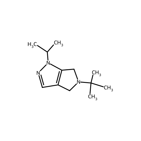 CC(C)n1ncc2c1CN(C(C)(C)C)C2